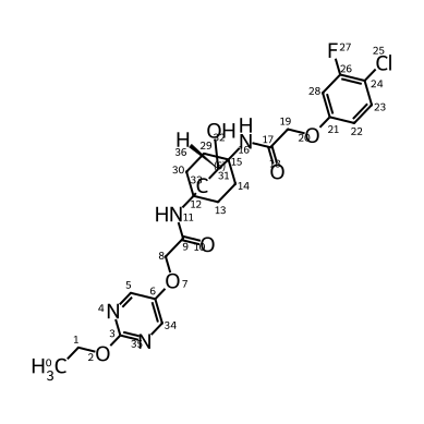 CCOc1ncc(OCC(=O)NC23CCC(NC(=O)COc4ccc(Cl)c(F)c4)(CC2)[C@@H](O)C3)cn1